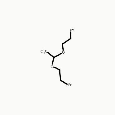 CC(C)CCOC(OCCC(C)C)C(Cl)(Cl)Cl